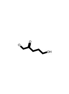 [O]CC(=O)CCCO